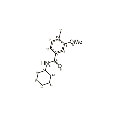 COc1cc(C(=O)NC2CCCCC2)ccc1C